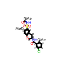 CNC(=O)NS(=O)(=O)c1cc2c(cc1OC)OCC(NC(=O)c1cc(Cl)ccc1OC)C2